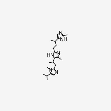 Cc1ncc(C(C)CCc2nc(C)c(C(C)Cc3ncc(C(C)C)n3C)[nH]2)[nH]1